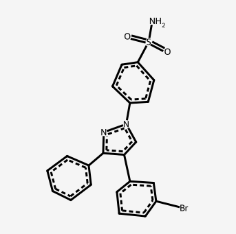 NS(=O)(=O)c1ccc(-n2cc(-c3cccc(Br)c3)c(-c3ccccc3)n2)cc1